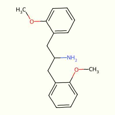 COc1ccccc1CC(N)Cc1ccccc1OC